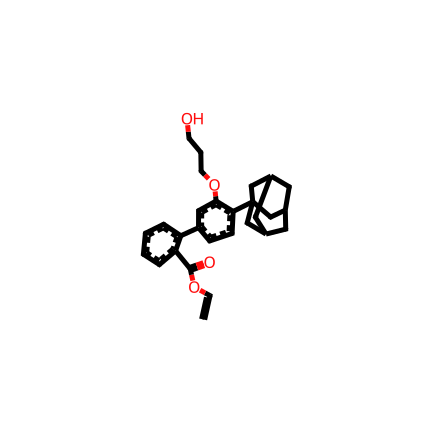 C=COC(=O)c1ccccc1-c1ccc(C23CC4CC(CC(C4)C2)C3)c(OCCCO)c1